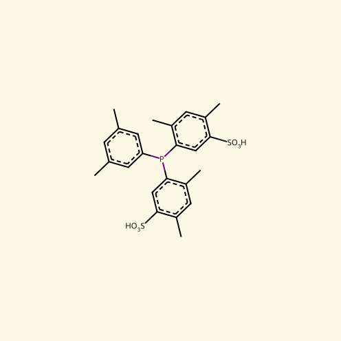 Cc1cc(C)cc(P(c2cc(S(=O)(=O)O)c(C)cc2C)c2cc(S(=O)(=O)O)c(C)cc2C)c1